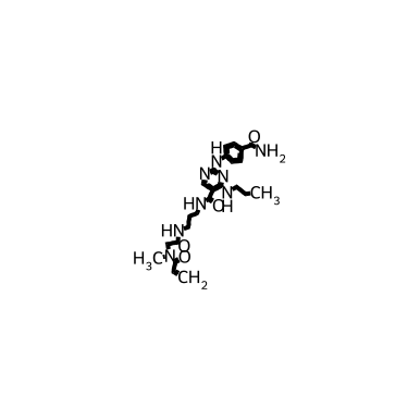 C=CC(=O)N(C)CC(=O)NCCCNC(=O)c1cnc(Nc2ccc(C(N)=O)cc2)nc1NCCC